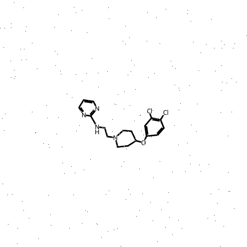 Clc1ccc(OC2CCN(CCNc3ncccn3)CC2)cc1Cl